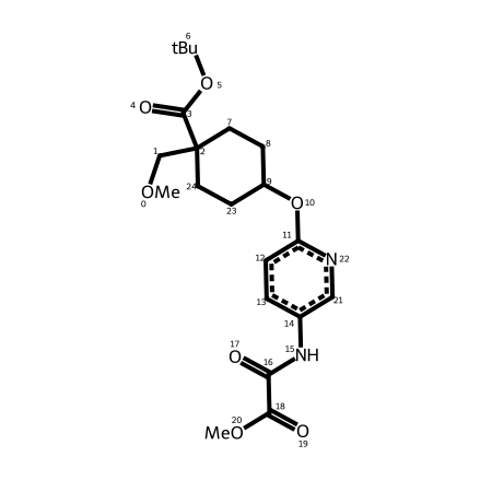 COCC1(C(=O)OC(C)(C)C)CCC(Oc2ccc(NC(=O)C(=O)OC)cn2)CC1